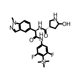 Cn1ncc2cc([C@@H](NC(=O)[C@@H]3CNC(O)C3)C(=O)Nc3cc(F)c([Si](C)(C)C)c(F)c3)ccc21